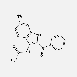 CC(=O)Nc1c(C(=O)c2ccccc2)[nH]c2cc(N)ccc12